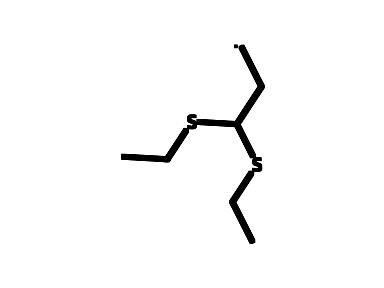 [CH2]CC(SCC)SCC